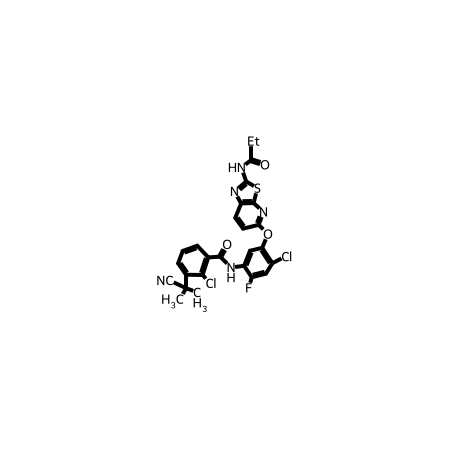 CCC(=O)Nc1nc2ccc(Oc3cc(NC(=O)c4cccc(C(C)(C)C#N)c4Cl)c(F)cc3Cl)nc2s1